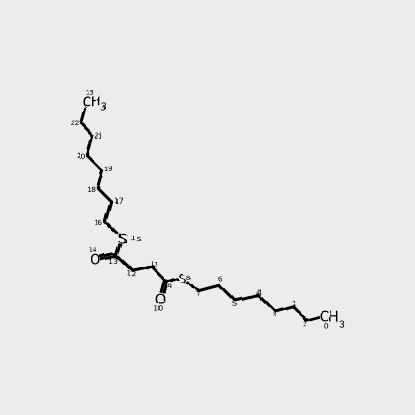 CCCCCCCCSC(=O)CCC(=O)SCCCCCCCC